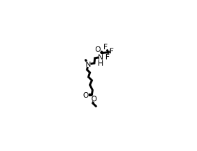 CCOC(=O)CCCCCCN(C)CCNC(=O)C(F)(F)F